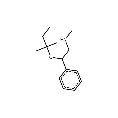 CCC(C)(C)OC(CNC)c1ccccc1